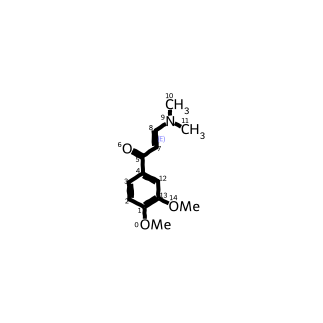 COc1ccc(C(=O)/C=C/N(C)C)cc1OC